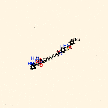 CC(C)(C)c1ccc(C(=O)NC(=S)Nc2ccc(NC(=O)CCCCCCCCCCCNC(=O)[C@H](Cc3c[nH]c4ccccc34)OC(N)=O)cc2)cc1